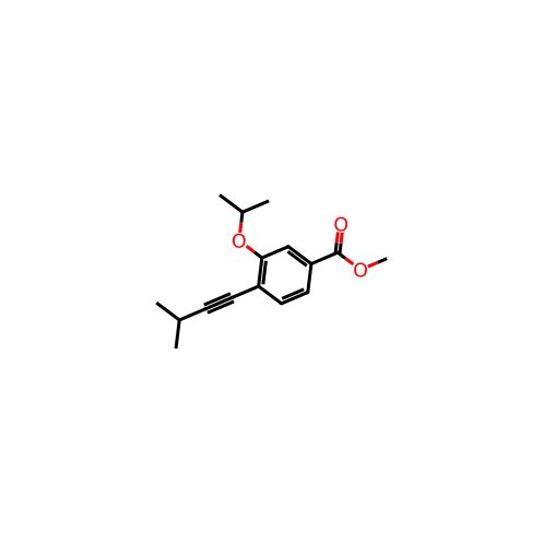 COC(=O)c1ccc(C#CC(C)C)c(OC(C)C)c1